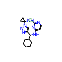 NC1(n2cc([C@@H](Nc3ccnc(Cl)n3)C3CCCCC3)nn2)CC1